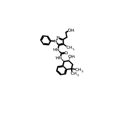 Cc1c(CCO)nn(-c2ccccc2)c1NC(=O)N[C@@H]1c2ccccc2C(C)(C)C[C@H]1O